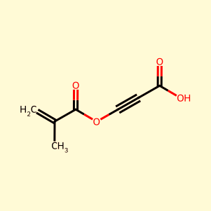 C=C(C)C(=O)OC#CC(=O)O